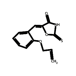 C=CCOc1ccccc1C=C1OC(=S)NC1=O